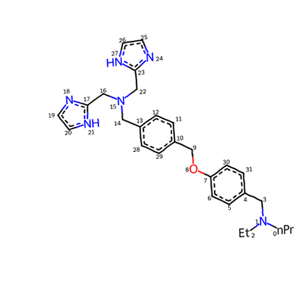 CCCN(CC)Cc1ccc(OCc2ccc(CN(Cc3ncc[nH]3)Cc3ncc[nH]3)cc2)cc1